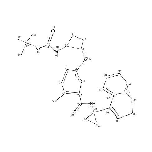 Cc1ccc(O[C@H]2CCC2NC(=O)OC(C)(C)C)cc1C(=O)NC1(c2cccc3ccccc23)CC1